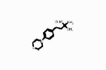 CC(N)(C=O)CCc1ccc(N2CCOCC2)cc1